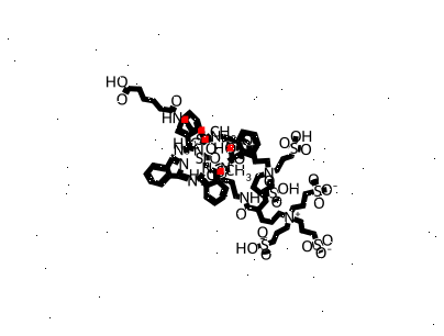 C[Si](C)(CCCNC(=O)CCCCC(=O)O)O[Si]1(O[Si](C)(C)CCCNC(=O)C(CCC[N+](CCCS(=O)(=O)[O-])(CCCS(=O)(=O)[O-])CCCS(=O)(=O)O)CCC[N+](CCCS(=O)(=O)O)(CCCS(=O)(=O)O)CCCS(=O)(=O)O)n2c3c4ccccc4c2/N=C2N=C(/N=c4/c5ccccc5/c(n41)=N/C1=NC(=N\3)/c3ccccc31)c1ccccc1\2